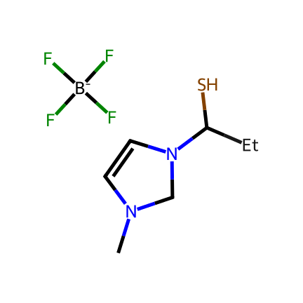 CCC(S)N1C=CN(C)C1.F[B-](F)(F)F